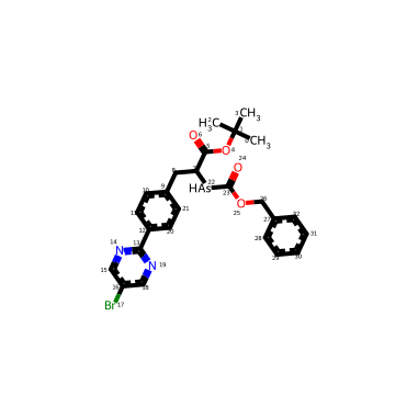 CC(C)(C)OC(=O)C(Cc1ccc(-c2ncc(Br)cn2)cc1)[AsH]C(=O)OCc1ccccc1